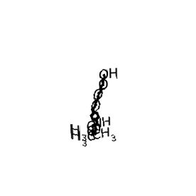 CC(C)(C)OC(=O)NC1CCC(COCCOCCOCCO)CC1